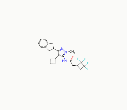 Cn1nc(C2Cc3ccccc3C2)c(C2CCC2)c1NC(=O)C[C@@H]1CC(F)(F)C1(F)F